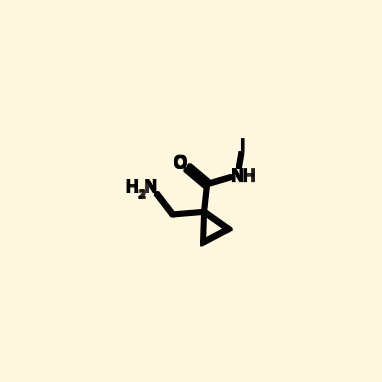 NCC1(C(=O)NI)CC1